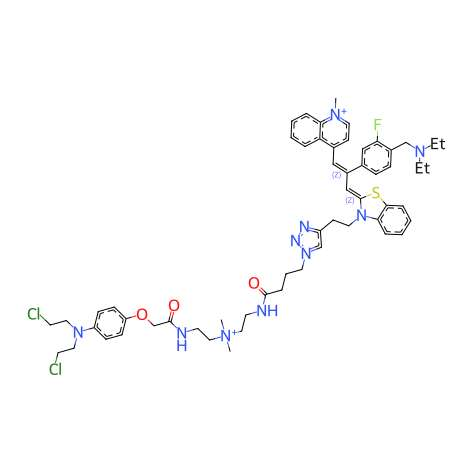 CCN(CC)Cc1ccc(C(=C\c2cc[n+](C)c3ccccc23)/C=C2\Sc3ccccc3N2CCc2cn(CCCC(=O)NCC[N+](C)(C)CCNC(=O)COc3ccc(N(CCCl)CCCl)cc3)nn2)cc1F